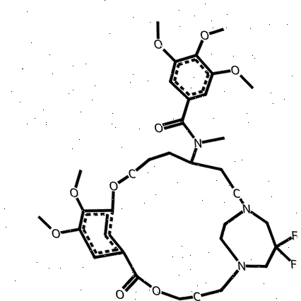 COc1cc(C(=O)N(C)C2CCCOc3cc(cc(OC)c3OC)C(=O)OCCCN3CCN(CC2)CC(F)(F)C3)cc(OC)c1OC